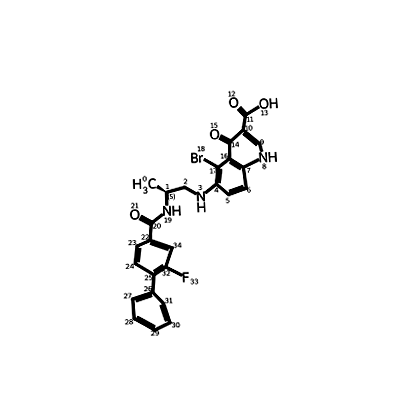 C[C@@H](CNc1ccc2[nH]cc(C(=O)O)c(=O)c2c1Br)NC(=O)c1ccc(-c2ccccc2)c(F)c1